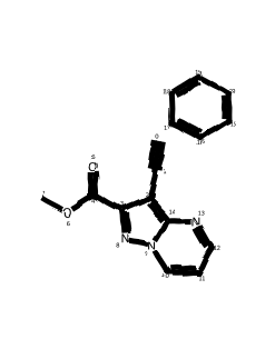 C#Cc1c(C(=O)OC)nn2cccnc12.c1ccccc1